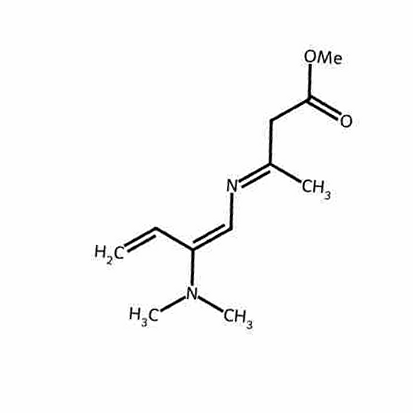 C=C/C(=C\N=C(/C)CC(=O)OC)N(C)C